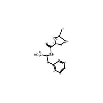 CC1NC(C(=O)NC(Cc2ccccc2)C(=O)O)CS1